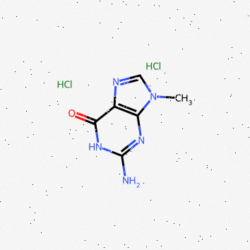 Cl.Cl.Cn1cnc2c(=O)[nH]c(N)nc21